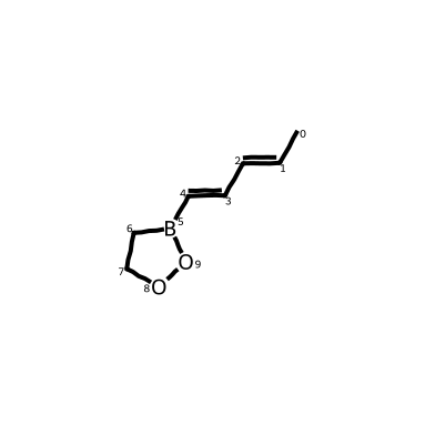 CC=CC=CB1CCOO1